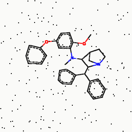 COc1ccc(Oc2ccccc2)cc1N(C)C1C2CCN(C2)C1C(c1ccccc1)c1ccccc1